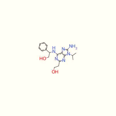 CC(C)n1c(N)nc2c(NC(CO)c3ccccc3)nc(CCO)nc21